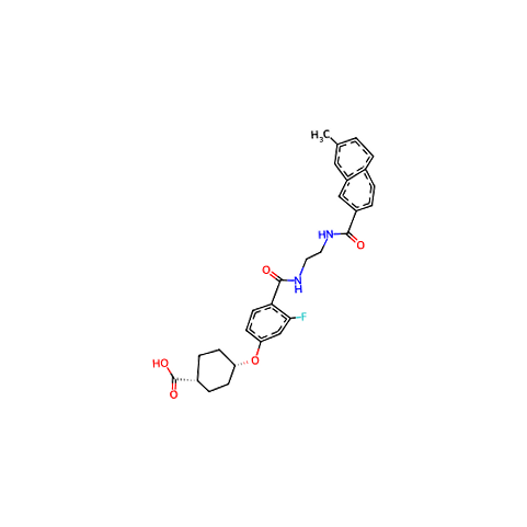 Cc1ccc2ccc(C(=O)NCCNC(=O)c3ccc(O[C@H]4CC[C@@H](C(=O)O)CC4)cc3F)cc2c1